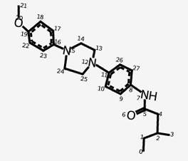 CCC(C)CC(=O)Nc1ccc(N2CCN(c3ccc(OC)cc3)CC2)cc1